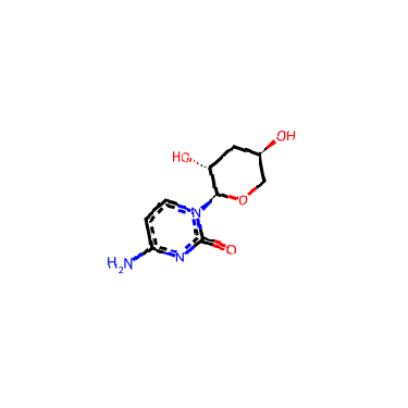 Nc1ccn([C@@H]2OC[C@H](O)C[C@H]2O)c(=O)n1